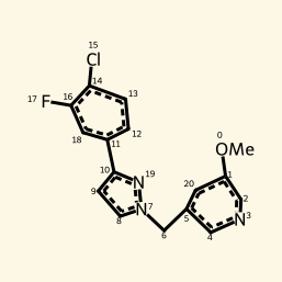 COc1cncc(Cn2ccc(-c3ccc(Cl)c(F)c3)n2)c1